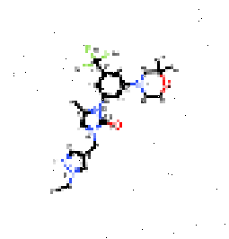 CCn1cc(Cn2cc(C)n(-c3cc(N4CCOC(C)(C)C4)cc(C(F)(F)F)c3)c2=O)cn1